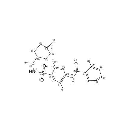 Cc1cc(S(=O)(=O)N[C@H](C)C2CCN(C)CC2)c(F)cc1NC(=O)c1ccccc1C